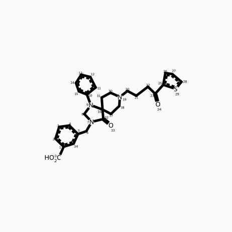 O=C(O)c1cccc(CN2CN(c3ccccc3)C3(CCN(CCCC(=O)c4cccs4)CC3)C2=O)c1